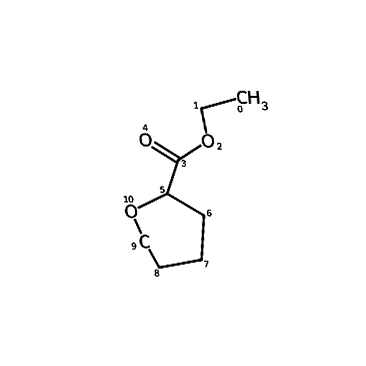 CCOC(=O)C1CCCCO1